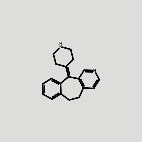 c1ccc2c(c1)CCc1ccncc1C2=C1CCNCC1